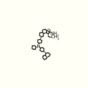 C/C=C\c1c(N)oc2ccc3ccc(-c4ccc(N(c5ccccc5)c5ccc(-c6cccc7ccccc67)cc5)cc4)cc3c12